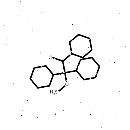 [SiH3]OC(C1CCCCC1)(C1CCCCC1)C(Cl)C1CCCCC1